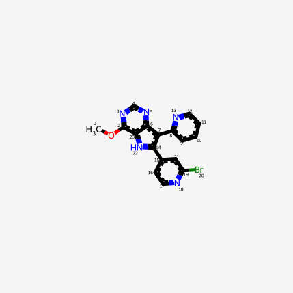 COc1ncnc2c(-c3ccccn3)c(-c3ccnc(Br)c3)[nH]c12